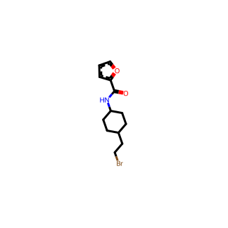 O=C(NC1CCC(CCBr)CC1)c1ccco1